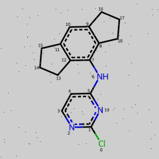 Clc1nccc(Nc2c3c(cc4c2CCC4)CCC3)n1